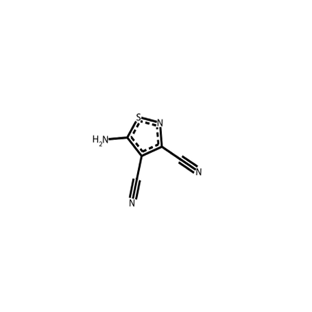 N#Cc1nsc(N)c1C#N